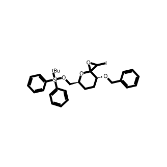 CC(C)(C)[Si](OC[C@@H]1CC[C@@H](OCc2ccccc2)C2(OC2I)O1)(c1ccccc1)c1ccccc1